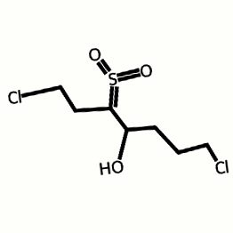 O=S(=O)=C(CCCl)C(O)CCCCl